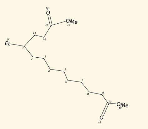 CCC(CCCCCCCCC(=O)OC)CCC(=O)OC